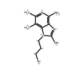 CCCc1nc2c(N)nc(C)c(C)c2n1CCCC(C)=O